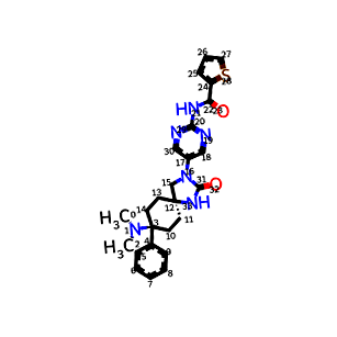 CN(C)[C@]1(c2ccccc2)CC[C@]2(CC1)CN(c1cnc(NC(=O)c3cccs3)nc1)C(=O)N2